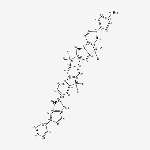 CC(C)(C)c1ccc(-c2ccc3c(c2)C(C)(C)c2cc4c(cc2-3)C(C)(C)c2cc3c(cc2-4)C(C)(C)c2cc(-c4nc5cc(-c6ccccc6)ccc5o4)ccc2-3)cc1